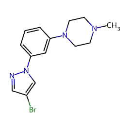 CN1CCN(c2cccc(-n3cc(Br)cn3)c2)CC1